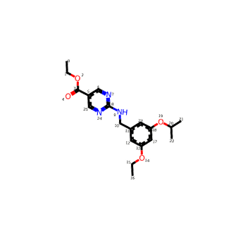 CCOC(=O)c1cnc(NCc2cc(OCC)cc(OC(C)C)c2)nc1